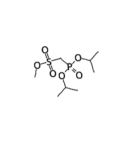 COS(=O)(=O)CP(=O)(OC(C)C)OC(C)C